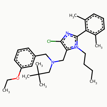 CCCCn1c(-c2c(C)cccc2C)nc(Cl)c1CN(Cc1cccc(OCC)c1)CC(C)(C)C